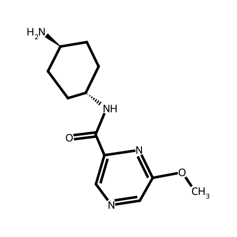 COc1cncc(C(=O)N[C@H]2CC[C@H](N)CC2)n1